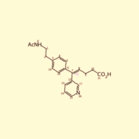 CC(=O)NCCc1ccc(/C(=C/CCC(=O)O)c2cccnc2)cc1